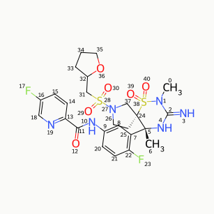 CN1C(=N)N[C@](C)(c2cc(NC(=O)c3ccc(F)cn3)ccc2F)[C@]2(CCN(S(=O)(=O)CC3CCCO3)C2)S1(=O)=O